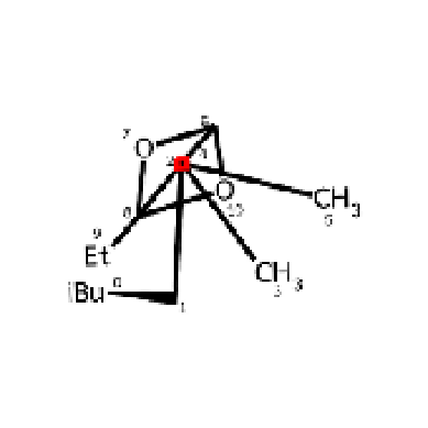 CC[C@H](C)CC1(C)C(C)C2OC1(CC)O2